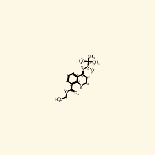 CCOC(=O)c1cccc2c1OCC/C2=N\[S@@+]([O-])C(C)(C)C